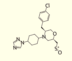 O=[S+]C[C@H]1CN(C2CCC(n3cncn3)CC2)[C@@H](Cc2ccc(Cl)cc2)CO1